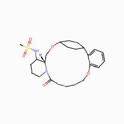 CS(=O)(=O)NC1CCCN2C(=O)CCCCOc3ccccc3C3CCC(CC3)OC[C@@H]12